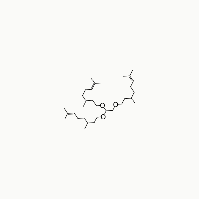 CC(C)=CCCC(C)CCOCC(OCCC(C)CCC=C(C)C)OCCC(C)CCC=C(C)C